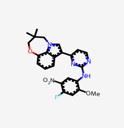 COc1cc(F)c([N+](=O)[O-])cc1Nc1nccc(-c2cn3c4c(cccc24)OCC(C)(C)C3)n1